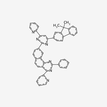 CC1(C)c2ccccc2-c2ccc(-c3cc(-c4ccccn4)nc(-c4ccc5ccc6c(-c7ccccn7)nc(-c7ccccc7)nc6c5c4)n3)cc21